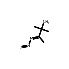 C/C(=N\N=O)C(C)(C)N